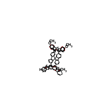 COc1ccc(N(c2ccc3c(c2)C2(c4cc(N(c5ccc(OC)cc5)c5cc6ccccc6s5)ccc4-3)c3cc(N(c4ccc(OC)cc4)c4cc5ccccc5s4)ccc3-c3ccc(N(c4ccc(OC)cc4)c4cc5ccccc5s4)cc32)c2cc3c(s2)CCC=C3)cc1